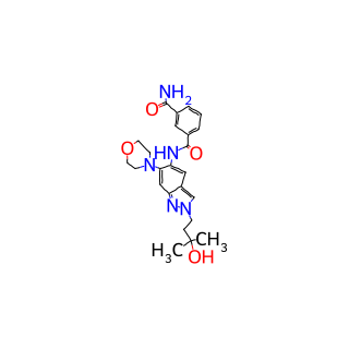 CC(C)(O)CCn1cc2cc(NC(=O)c3cccc(C(N)=O)c3)c(N3CCOCC3)cc2n1